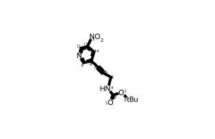 CC(C)(C)OC(=O)NCC#Cc1cncc([N+](=O)[O-])c1